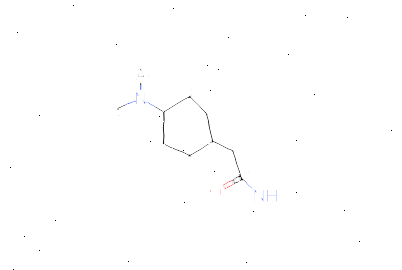 CC(=O)N(C)C1CCC(CC(N)=O)CC1